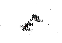 COC(=O)N[C@H](C(=O)N1CCC[C@H]1c1ncc(-c2ccc(-c3ccc(-c4cnc(C5[C@H]6CC[C@H](C6)N5C(=O)OC(C)(C)C)[nH]4)cc3)cc2)[nH]1)C(C)C